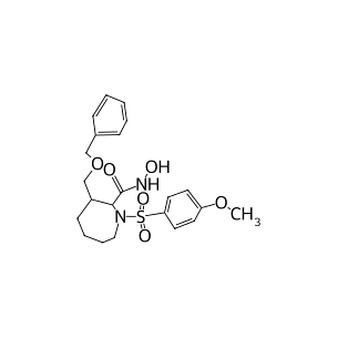 COc1ccc(S(=O)(=O)N2CCCCC(COCc3ccccc3)C2C(=O)NO)cc1